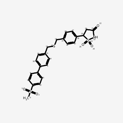 CS(=O)(=O)c1ccc(-c2ccc(CSCc3ccc(C4CC(=O)NS4(=O)=O)cc3)cc2)cc1